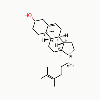 CC(C)=C(C)CC[C@@H](C)[C@H]1CC[C@H]2[C@@H]3CC=C4CC(O)CC[C@]4(C)[C@H]3CC[C@]12C